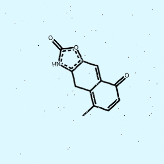 CC1=C2Cc3[nH]c(=O)oc3C=C2C(=O)C=C1